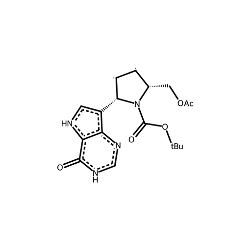 CC(=O)OC[C@H]1[CH][CH][C@@H](c2c[nH]c3c(=O)[nH]cnc23)N1C(=O)OC(C)(C)C